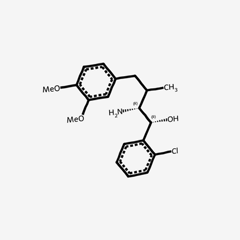 COc1ccc(CC(C)[C@@H](N)[C@H](O)c2ccccc2Cl)cc1OC